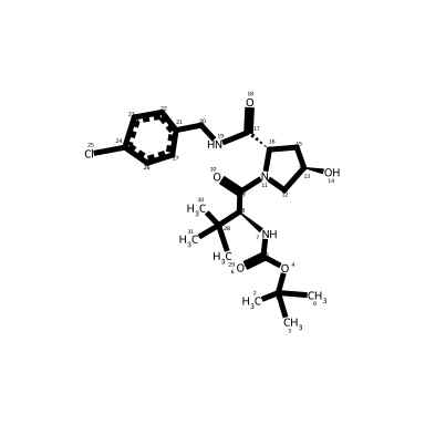 CC(C)(C)OC(=O)N[C@H](C(=O)N1C[C@H](O)C[C@H]1C(=O)NCc1ccc(Cl)cc1)C(C)(C)C